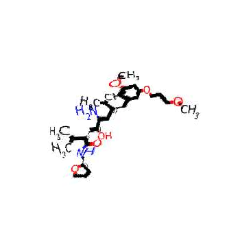 COCCCOc1cc(C[C@@H](C[C@H](N)[C@@H](O)C[C@H](C(=O)NC[C@@H]2CCCO2)C(C)C)C(C)C)cc(OC)c1